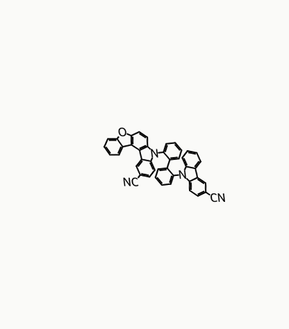 N#Cc1ccc2c(c1)c1ccccc1n2-c1ccccc1-c1ccccc1-n1c2ccc(C#N)cc2c2c3c(ccc21)oc1ccccc13